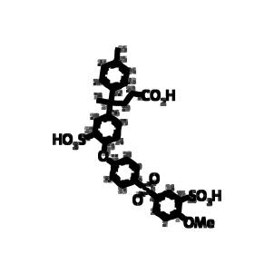 COc1ccc(S(=O)(=O)c2ccc(Oc3ccc(C(C)(CCC(=O)O)c4ccc(C)cc4)cc3S(=O)(=O)O)cc2)cc1S(=O)(=O)O